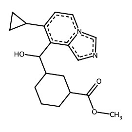 COC(=O)C1CCCC(C(O)c2c(C3CC3)ccn3cncc23)C1